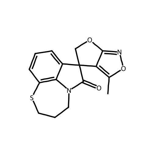 Cc1onc2c1C1(CO2)C(=O)N2CCCSc3cccc1c32